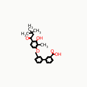 Cc1c(OCc2cccc(-c3cccc(C(=O)O)c3)c2)ccc(C(=O)CC(C)(C)C)c1O